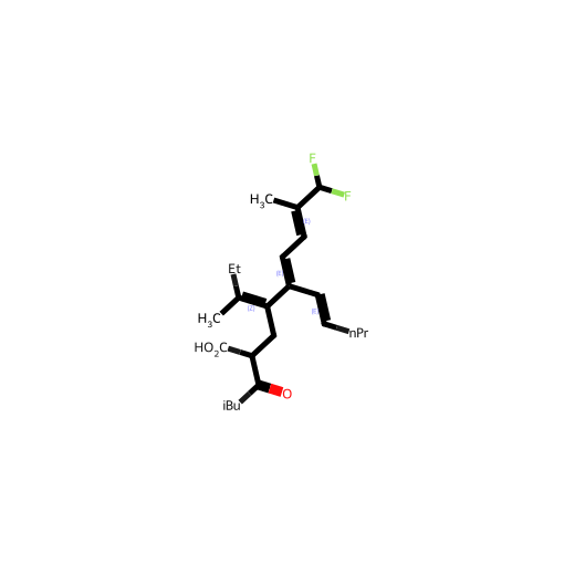 CCC/C=C/C(=C\C=C(/C)C(F)F)C(/CC(C(=O)O)C(=O)C(C)CC)=C(/C)CC